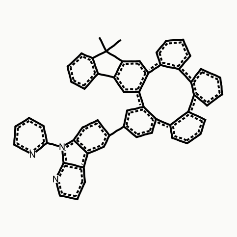 CC1(C)c2ccccc2-c2cc3c4cc(-c5ccc6c(c5)c5cccnc5n6-c5ccccn5)ccc4c4ccccc4c4ccccc4c4ccccc4c3cc21